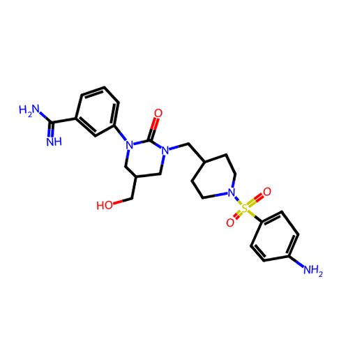 N=C(N)c1cccc(N2CC(CO)CN(CC3CCN(S(=O)(=O)c4ccc(N)cc4)CC3)C2=O)c1